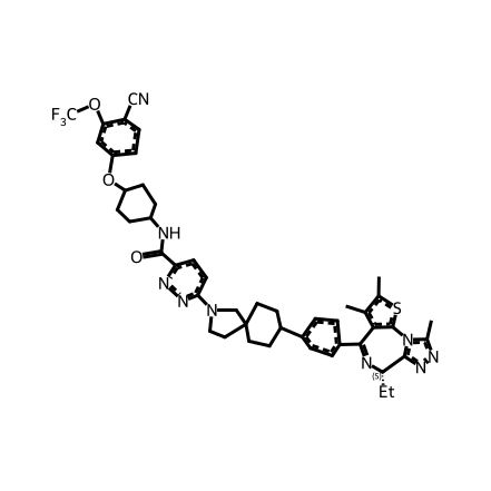 CC[C@@H]1N=C(c2ccc(C3CCC4(CC3)CCN(c3ccc(C(=O)NC5CCC(Oc6ccc(C#N)c(OC(F)(F)F)c6)CC5)nn3)C4)cc2)c2c(sc(C)c2C)-n2c(C)nnc21